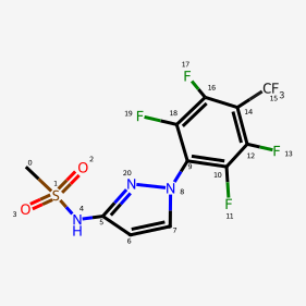 CS(=O)(=O)Nc1ccn(-c2c(F)c(F)c(C(F)(F)F)c(F)c2F)n1